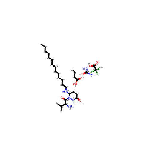 CCCC(=O)O.CCCCCCCCCCCCCCNC1CCC(=O)NN1C(=O)C(N)C(C)C.NC(N)=O.O=C(O)C(F)(F)F